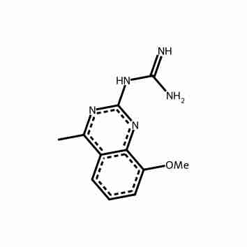 COc1cccc2c(C)nc(NC(=N)N)nc12